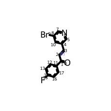 O=C(/C=C/c1cncc(Br)c1)c1ccc(F)cc1